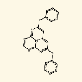 C1=NC2=NC(Sc3ccccc3)=CC3=CC(Sc4ccccc4)=NC(=N1)N32